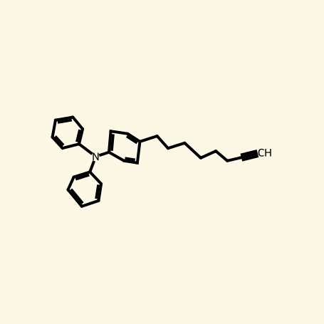 C#CCCCCCCc1ccc(N(c2ccccc2)c2ccccc2)cc1